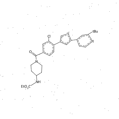 CCOC(=O)NC1CCN(C(=O)c2ccc(-c3csc(-c4ccnc(C(C)(C)C)c4)c3)c(Cl)c2)CC1